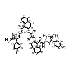 CN(C)C(CCNC(=O)c1c(OC(=O)C(=O)Oc2ccc3ccccc3c2C(=O)NCCC(c2ccc(Cl)cc2)N(C)C)ccc2ccccc12)c1ccc(Cl)cc1